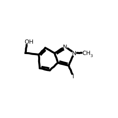 Cn1nc2cc(CO)ccc2c1I